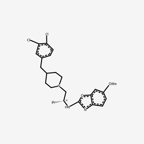 COc1ccc2nc(N[C@@H](CN3CCC(Cc4ccc(Cl)c(Cl)c4)CC3)C(C)C)oc2c1